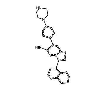 N#Cc1nn2c(-c3ccnc4ccccc34)cnc2cc1-c1ccc(N2CCNCC2)cc1